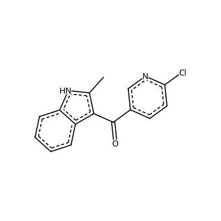 Cc1[nH]c2ccccc2c1C(=O)c1ccc(Cl)nc1